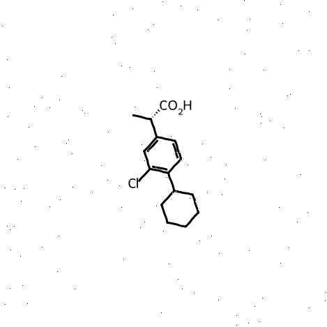 C[C@H](C(=O)O)c1ccc(C2CCCCC2)c(Cl)c1